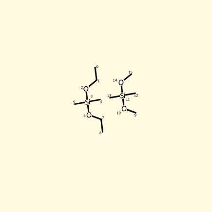 CCO[Si](C)(C)OCC.CO[Si](C)(C)OC